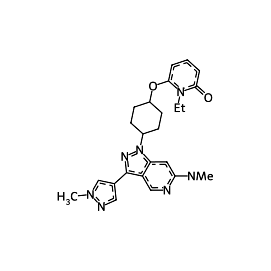 CCn1c(OC2CCC(n3nc(-c4cnn(C)c4)c4cnc(NC)cc43)CC2)cccc1=O